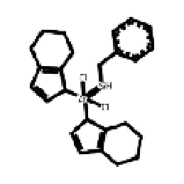 [Cl][Zr]([Cl])(=[SiH]Cc1ccccc1)([CH]1C=CC2=C1CCCC2)[CH]1C=CC2=C1CCCC2